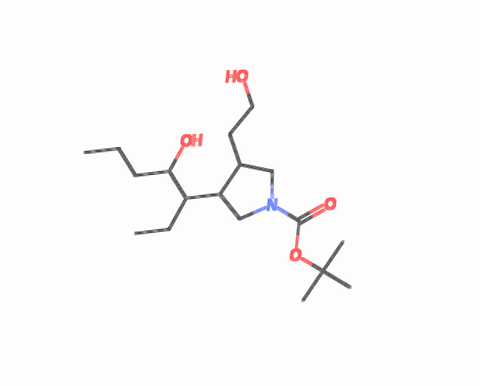 CCCC(O)C(CC)C1CN(C(=O)OC(C)(C)C)CC1CCO